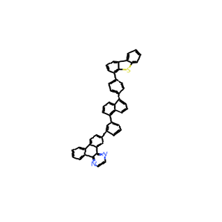 c1cc(-c2ccc3c4ccccc4c4nccnc4c3c2)cc(-c2cccc3c(-c4ccc(-c5cccc6c5sc5ccccc56)cc4)cccc23)c1